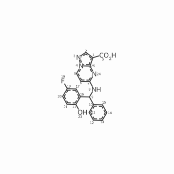 O=C(O)c1cnn2ccc(NC(c3ccccc3)c3cc(F)ccc3O)nc12